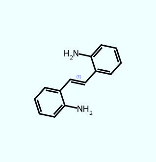 Nc1ccccc1/C=C/c1ccccc1N